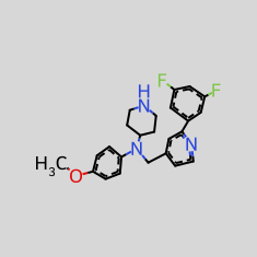 COc1ccc(N(Cc2ccnc(-c3cc(F)cc(F)c3)c2)C2CCNCC2)cc1